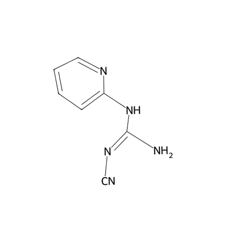 N#CN=C(N)Nc1ccccn1